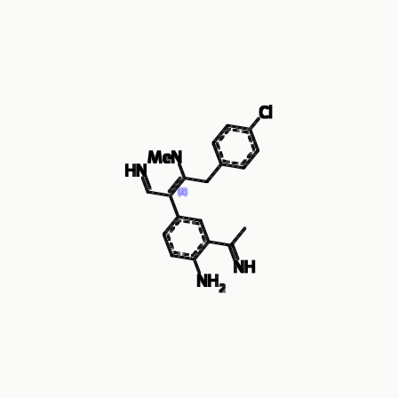 CN/C(Cc1ccc(Cl)cc1)=C(\C=N)c1ccc(N)c(C(C)=N)c1